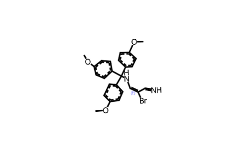 COc1ccc(C(N/C=C(/Br)C=N)(c2ccc(OC)cc2)c2ccc(OC)cc2)cc1